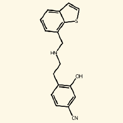 N#Cc1ccc(CCNCc2cccc3ccsc23)c(O)c1